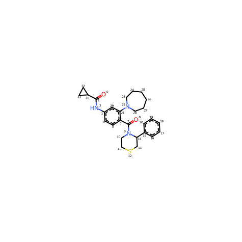 O=C(Nc1ccc(C(=O)N2CCSCC2c2ccccc2)c(N2CCCCCC2)c1)C1CC1